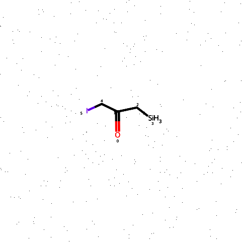 O=C(C[SiH3])CI